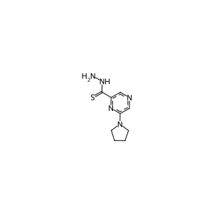 NNC(=S)c1cncc(N2CCCC2)n1